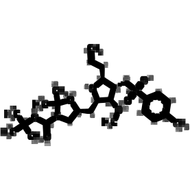 C=CC[C@@H]1O[C@H](C[C@H]2CN(C(=O)OC(C)(C)C)C(C)(C)O2)[C@H](OC)[C@H]1CS(=O)(=O)c1ccc(C)cc1